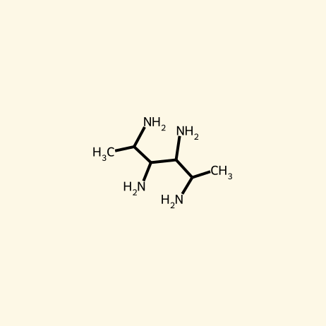 CC(N)C(N)C(N)C(C)N